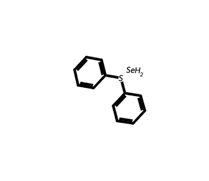 [SeH2].c1ccc(Sc2ccccc2)cc1